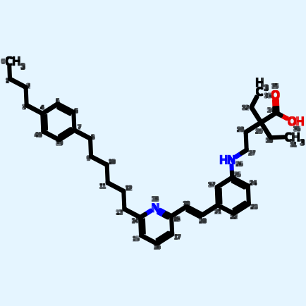 CCCCc1ccc(CCCCCCc2cccc(C=Cc3cccc(NCCC(CC)(CC)C(=O)O)c3)n2)cc1